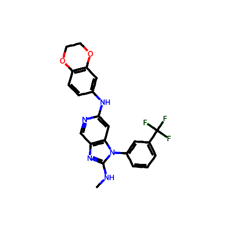 CNc1nc2cnc(Nc3ccc4c(c3)OCCO4)cc2n1-c1cccc(C(F)(F)F)c1